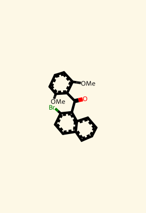 COc1cccc(OC)c1C(=O)c1c(Br)ccc2ccccc12